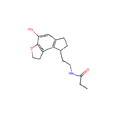 CCC(=O)NCCC1CCc2cc(O)c3c(c21)CCO3